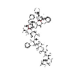 CN[C@@H](C)C(=O)N[C@H](C(=O)N(C)[C@H]1CC(C)N([C@@H]2C(=O)N([C@@H](Cc3ccccc3)C(=O)NCC(=O)N(C)[C@@H](CC(C)C)C(=O)N(C)[C@H](C(=O)N[C@@H](Cc3ccccc3)C(=O)N[C@@H](CC=O)C(=O)N(C)C(Cc3ccccc3)C(=O)N[C@@H](C)C(=O)N3CCCCC3)C(C)C)O[C@@H]2C)C1=O)C(C)C